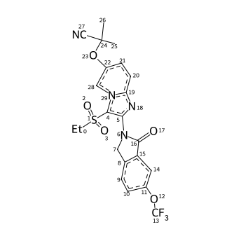 CCS(=O)(=O)c1c(N2Cc3ccc(OC(F)(F)F)cc3C2=O)nc2ccc(OC(C)(C)C#N)cn12